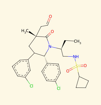 CC[C@@H](CNS(=O)(=O)C1CCC1)N1C(=O)[C@@](C)(CC=O)CC(c2cccc(Cl)c2)[C@H]1c1ccc(Cl)cc1